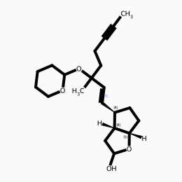 CC#CCCC(C)(/C=C/[C@H]1CC[C@@H]2OC(O)C[C@@H]21)OC1CCCCO1